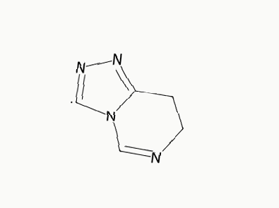 [c]1nnc2n1C=NCC2